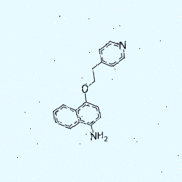 Nc1ccc(OCCc2ccncc2)c2ccccc12